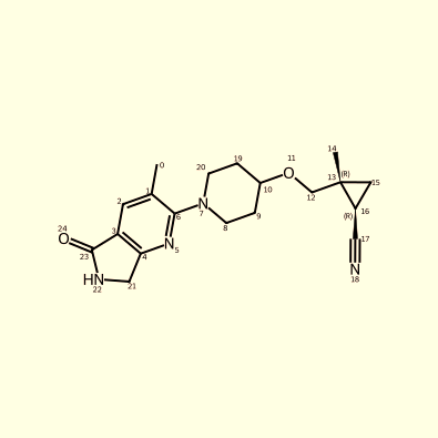 Cc1cc2c(nc1N1CCC(OC[C@]3(C)C[C@H]3C#N)CC1)CNC2=O